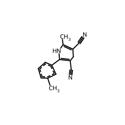 CC1=C(C#N)CC(C#N)=C(c2cccc(C)c2)N1